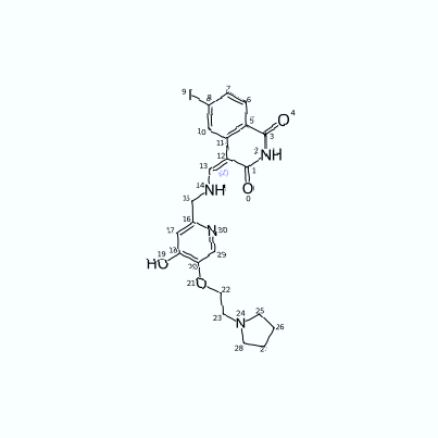 O=C1NC(=O)c2ccc(I)cc2/C1=C/NCc1cc(O)c(OCCN2CCCC2)cn1